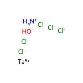 [Cl-].[Cl-].[Cl-].[Cl-].[Cl-].[NH4+].[OH-].[Ta+5]